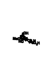 C=C(C)C(=O)O.C=C(C)C(=O)O.COc1cc(CO)ccc1O